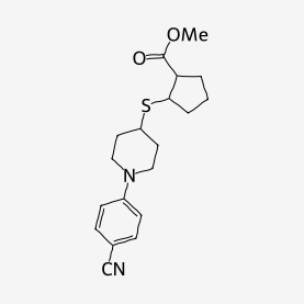 COC(=O)C1CCCC1SC1CCN(c2ccc(C#N)cc2)CC1